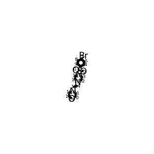 O=S(=O)(c1ccc(Br)cc1)N1CCN(CCN2CCOCC2)CC1